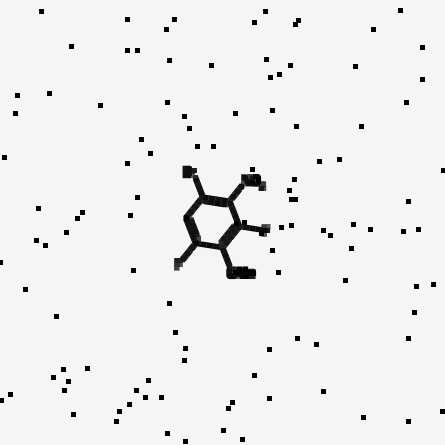 COc1c(F)cc(Br)c([N+](=O)[O-])c1F